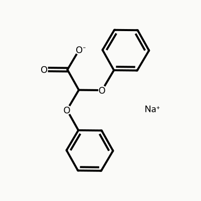 O=C([O-])C(Oc1ccccc1)Oc1ccccc1.[Na+]